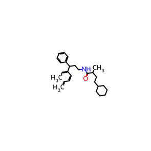 C=C/C=C\C(=C/C)C(CCNC(=O)C(C)CCC1CCCCC1)c1ccccc1